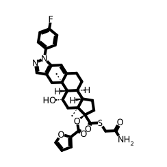 C[C@]12Cc3cnn(-c4ccc(F)cc4)c3C=C1CC[C@@H]1[C@@H]2[C@@H](O)C[C@@]2(C)[C@H]1CC[C@]2(OC(=O)c1ccco1)C(=O)SCC(N)=O